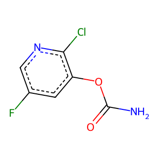 NC(=O)Oc1cc(F)cnc1Cl